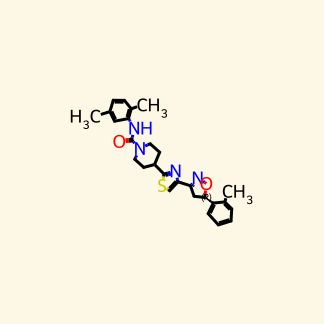 Cc1ccc(C)c(NC(=O)N2CCC(c3nc(C4=NO[C@@H](c5ccccc5C)C4)cs3)CC2)c1